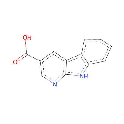 O=C(O)c1cnc2[nH]c3ccccc3c2c1